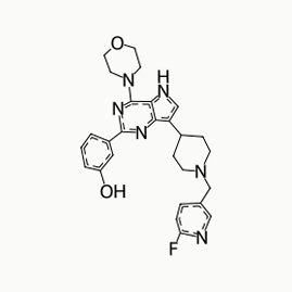 Oc1cccc(-c2nc(N3CCOCC3)c3[nH]cc(C4CCN(Cc5ccc(F)nc5)CC4)c3n2)c1